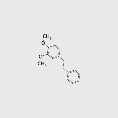 COc1ccc(CCc2ccccc2)cc1OC